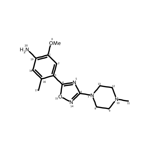 COc1cc(-c2nc(N3CCN(C)CC3)no2)c(C)cc1N